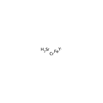 [Cr].[Fe].[SrH2].[Y]